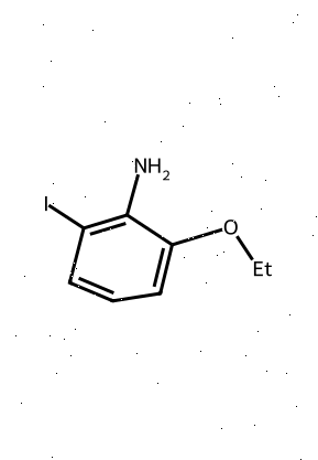 CCOc1cccc(I)c1N